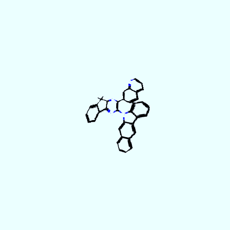 CC1(C)c2ccccc2-c2nc(-n3c4ccccc4c4cc5ccccc5cc43)c(-c3ccc4cccnc4c3)nc21